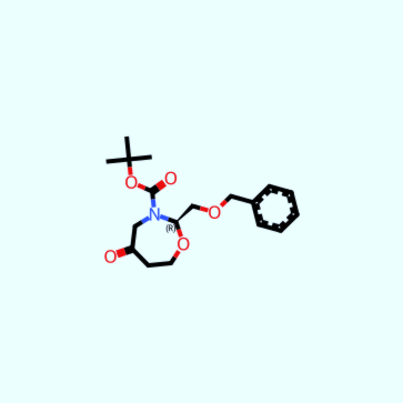 CC(C)(C)OC(=O)N1CC(=O)CCO[C@@H]1COCc1ccccc1